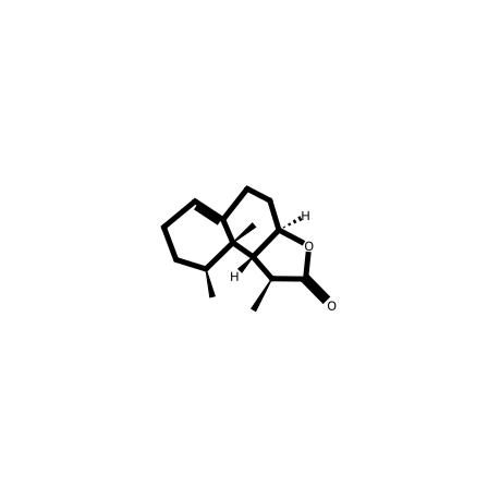 C[C@@H]1C(=O)O[C@@H]2CCC3=CCC[C@H](C)[C@@]3(C)[C@@H]12